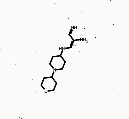 N=C/C(N)=C\NC1CCN(C2CCOCC2)CC1